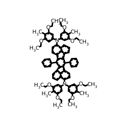 CCOc1cc(N(c2cc(OCC)c(C)c(OCC)c2)c2ccc3c4c(-c5ccccc5)c5c6cccc7c(N(c8cc(OCC)c(C)c(OCC)c8)c8cc(OCC)c(C)c(OCC)c8)ccc(c5c(-c5ccccc5)c4c4cccc2c43)c76)cc(OCC)c1C